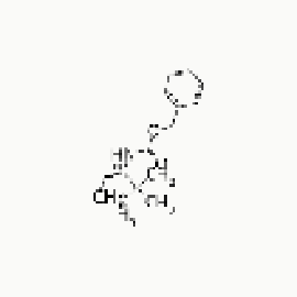 CC[C@@H](NC(=O)OCc1ccccc1)C(C)(C)C